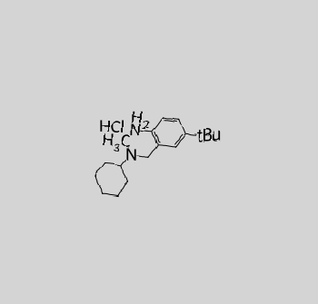 CN(Cc1cc(C(C)(C)C)ccc1N)C1CCCCC1.Cl